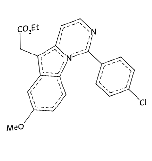 CCOC(=O)Cc1c2cc(OC)ccc2n2c(-c3ccc(Cl)cc3)nccc12